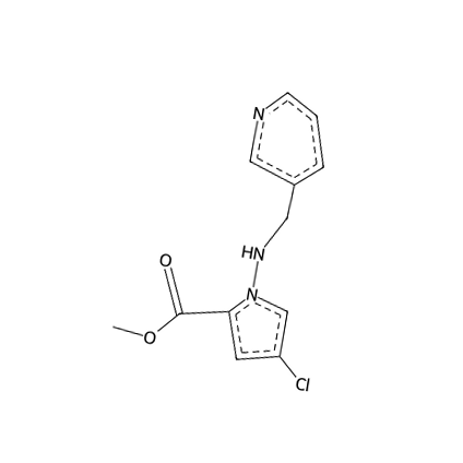 COC(=O)c1cc(Cl)cn1NCc1cccnc1